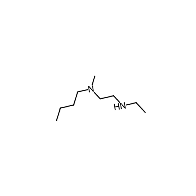 CCCCN(C)CCNCC